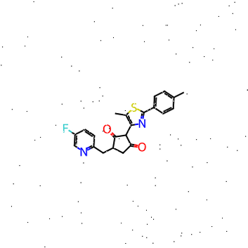 Cc1ccc(-c2nc(C3C(=O)CC(Cc4ccc(F)cn4)C3=O)c(C)s2)cc1